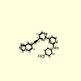 O[C@H]1CC[C@@H](Nc2nccc(-c3nccc(C#Cc4ccn5cnnc5c4)n3)n2)CC1